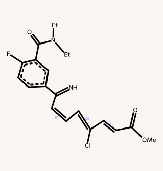 CCN(CC)C(=O)c1cc(C(=N)\C=C/C=C(Cl)/C=C/C(=O)OC)ccc1F